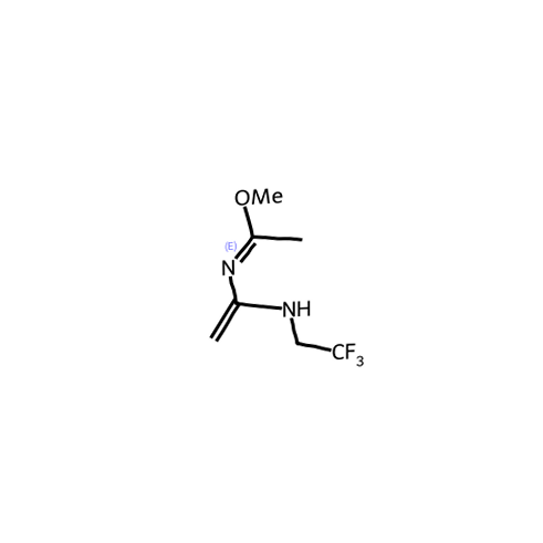 C=C(/N=C(\C)OC)NCC(F)(F)F